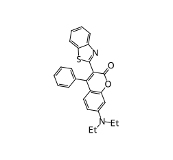 CCN(CC)c1ccc2c(-c3ccccc3)c(-c3nc4ccccc4s3)c(=O)oc2c1